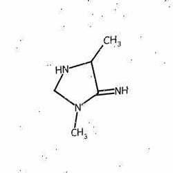 CC1NCN(C)C1=N